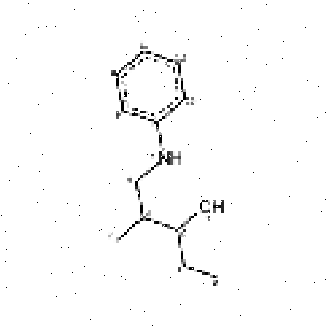 CCC(O)C(C)CNc1ccccc1